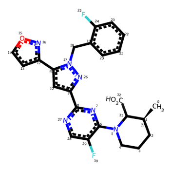 C[C@H]1CCCN(c2nc(-c3cc(-c4ccon4)n(Cc4ccccc4F)n3)ncc2F)C1C(=O)O